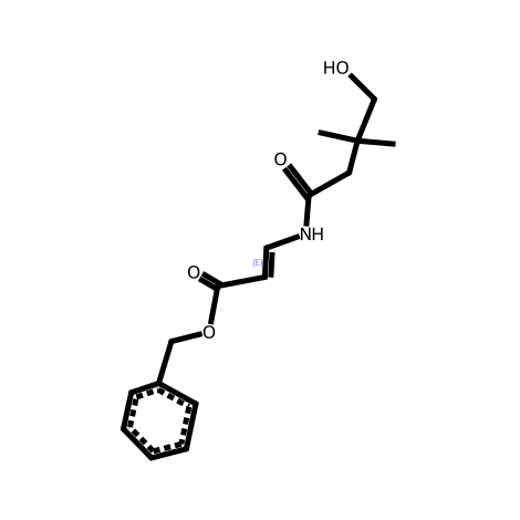 CC(C)(CO)CC(=O)N/C=C/C(=O)OCc1ccccc1